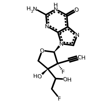 C#C[C@]1(F)[C@H](n2cnc3c(=O)[nH]c(N)nc32)OC[C@@]1(O)C(O)CF